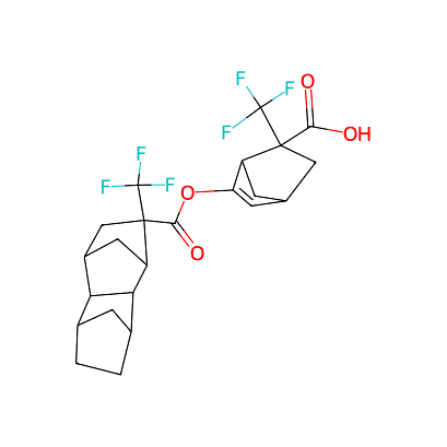 O=C(O)C1(C(F)(F)F)CC2C=C(OC(=O)C3(C(F)(F)F)CC4CC3C3C5CCC(C5)C43)C1C2